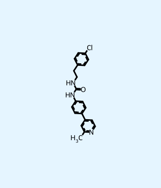 Cc1cc(-c2ccc(NC(=O)NCCc3ccc(Cl)cc3)cc2)ccn1